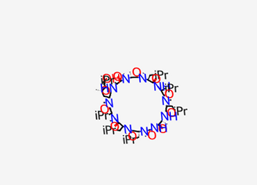 CC(C)CC1C(=O)N[C@H](C)C(=O)NC(=O)N(C)[C@H](CC(C)C)C(=O)N(C)C(CC(C)C)C(=O)N(C)C(C(C)C)C(=O)N(C)C(C[C@H](C)CCO)C(=O)NC(C(C)C)C(=O)N(C)[C@H](C)C(=O)N(C)[C@@H](CC(C)C)C(=O)NC(C(C)C)C(=O)N1C